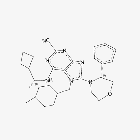 CC1CCC(Cn2c(N3CCOC[C@H]3c3ccccc3)nc3nc(C#N)nc(N[C@H](C)C4CCC4)c32)CC1